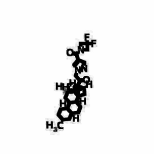 C[C@H]1CC[C@@H]2C3CC[C@]4(C)[C@@H](C(=O)Cn5cc(C(=O)N6CC(F)(F)C6)cn5)[C@@H]5CC4([C@@H]3CC[C@@H]2C1)[C@@H]5C